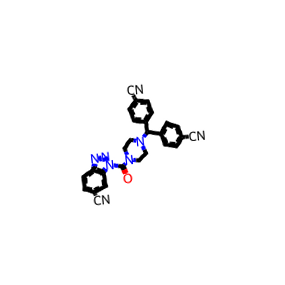 N#Cc1ccc(C(c2ccc(C#N)cc2)N2CCN(C(=O)n3nnc4ccc(C#N)cc43)CC2)cc1